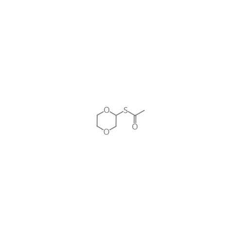 CC(=O)SC1COCCO1